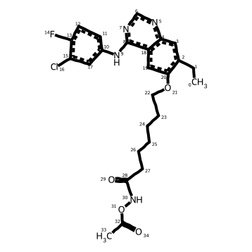 CCc1cc2ncnc(Nc3ccc(F)c(Cl)c3)c2cc1OCCCCCCC(=O)NOC(C)=O